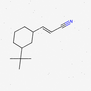 CC(C)(C)C1CCCC(C=CC#N)C1